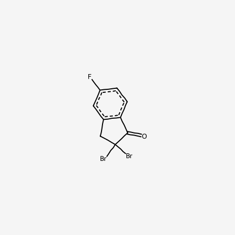 O=C1c2ccc(F)cc2CC1(Br)Br